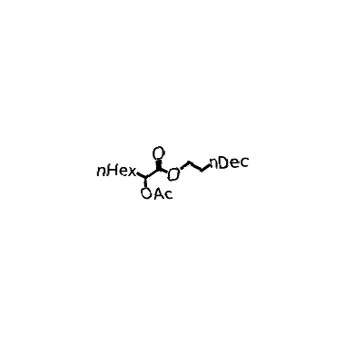 CCCCCCCCCCCCOC(=O)C(CCCCCC)OC(C)=O